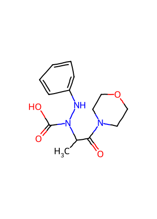 CC(C(=O)N1CCOCC1)N(Nc1ccccc1)C(=O)O